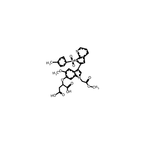 COC(=O)Cn1cc(-c2cc3cccnc3n2S(=O)(=O)c2ccc(C)cc2)c2cc(OC)c(OC(CC(=O)O)C(=O)O)cc21